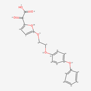 O=C(O)C(=O)c1ccc(OCCOc2ccc(Oc3ccccc3)cc2)o1